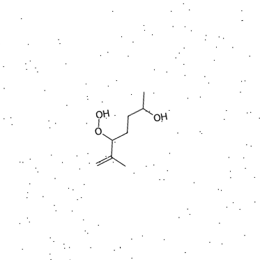 C=C(C)C(CCC(C)O)OO